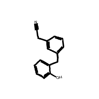 N#CCc1cccc(Cc2ccccc2O)c1